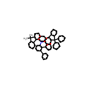 CC1(C)c2ccccc2-c2c(N(c3ccc4c(c3)-c3ccccc3C4(c3ccccc3)c3ccccc3)c3cccc(-c4ccccc4)c3-c3ccccc3-c3ccccc3)cccc21